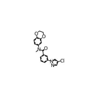 CN(C(=O)c1cccc(-n2cc(Cl)cn2)c1)c1ccc2c(c1)OCCO2